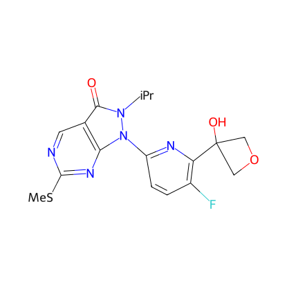 CSc1ncc2c(=O)n(C(C)C)n(-c3ccc(F)c(C4(O)COC4)n3)c2n1